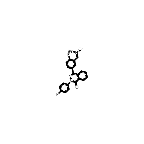 CC(C)/[N+]([O-])=C\c1cc(-c2nn(-c3ccc(F)cc3)c(=O)c3ccccc23)ccc1F